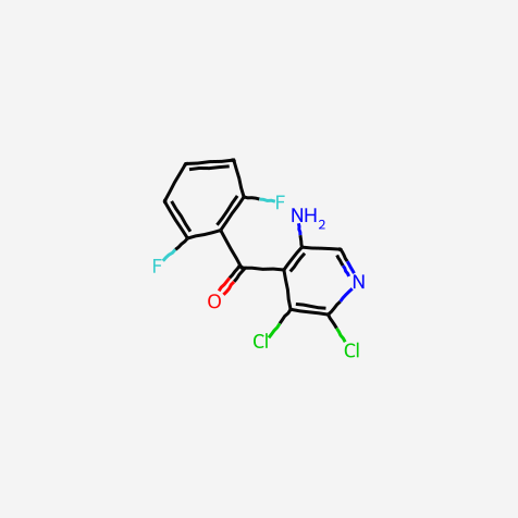 Nc1cnc(Cl)c(Cl)c1C(=O)c1c(F)cccc1F